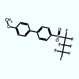 COc1ccc(-c2ccc(S(=O)(=O)C(F)(F)C(F)(F)C(F)(F)F)cc2)cc1